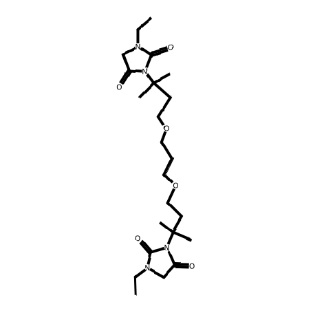 CCN1CC(=O)N(C(C)(C)CCOCCCOCCC(C)(C)N2C(=O)CN(CC)C2=O)C1=O